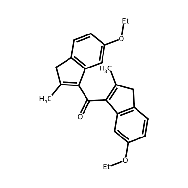 CCOc1ccc2c(c1)C(C(=O)C1=C(C)Cc3ccc(OCC)cc31)=C(C)C2